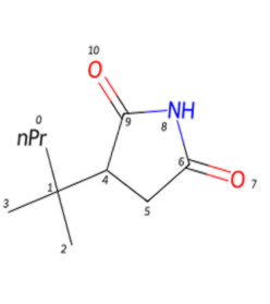 CCCC(C)(C)C1CC(=O)NC1=O